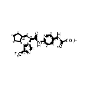 O=C(O)C(=O)Nc1ccc(NC(=O)[C@H](CC2CCCC2)n2cnc(C(F)(F)F)c2)nc1